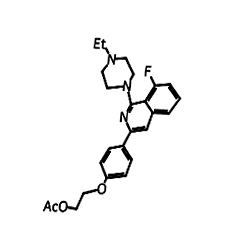 CCN1CCN(c2nc(-c3ccc(OCCOC(C)=O)cc3)cc3cccc(F)c23)CC1